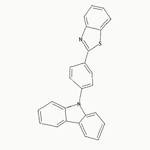 c1ccc2sc(-c3ccc(-n4c5ccccc5c5ccccc54)cc3)nc2c1